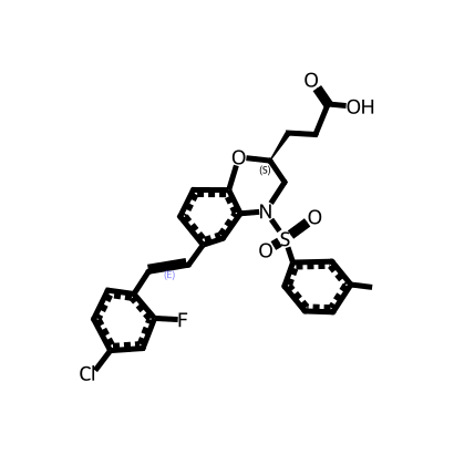 Cc1cccc(S(=O)(=O)N2C[C@H](CCC(=O)O)Oc3ccc(/C=C/c4ccc(Cl)cc4F)cc32)c1